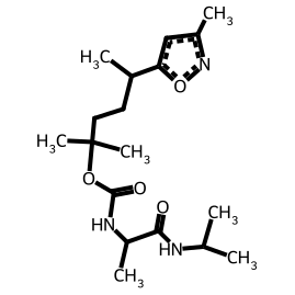 Cc1cc(C(C)CCC(C)(C)OC(=O)NC(C)C(=O)NC(C)C)on1